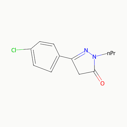 CCCN1N=C(c2ccc(Cl)cc2)CC1=O